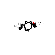 CCn1c(-c2cccnc2[C@H](C)OC)c2c3cc(ccc31)-c1cccc(c1)C[C@H](NC(=O)[C@H](C(C)C)N(C)C(=O)C1(O)CCN(C(C)=O)C1)C(=O)N1CCC[C@H](N1)C(=O)OCC(C)(C)C2